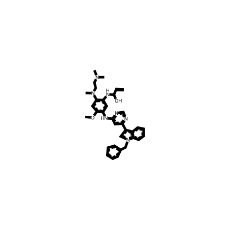 C=CC(O)Nc1cc(Nc2cc(-c3cn(Cc4ccccc4)c4ccccc34)ncn2)c(OC)cc1N(C)CCN(C)C